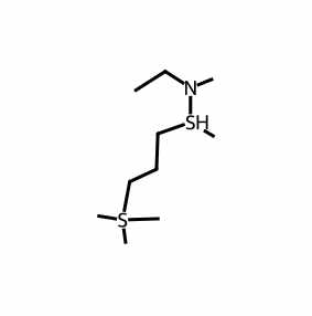 CCN(C)[SH](C)CCCS(C)(C)C